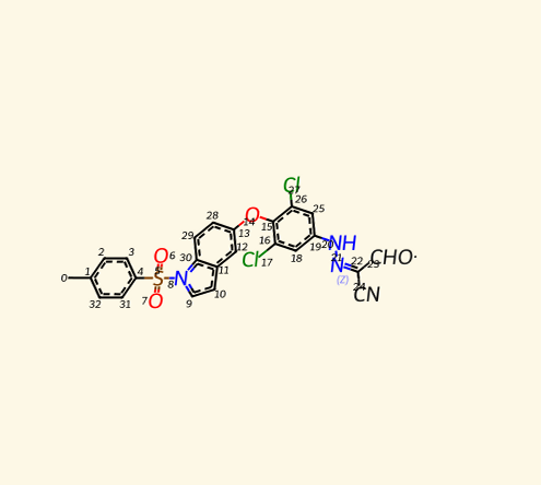 Cc1ccc(S(=O)(=O)n2ccc3cc(Oc4c(Cl)cc(N/N=C(\[C]=O)C#N)cc4Cl)ccc32)cc1